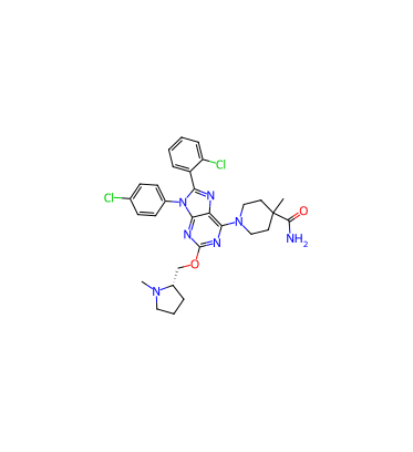 CN1CCC[C@H]1COc1nc(N2CCC(C)(C(N)=O)CC2)c2nc(-c3ccccc3Cl)n(-c3ccc(Cl)cc3)c2n1